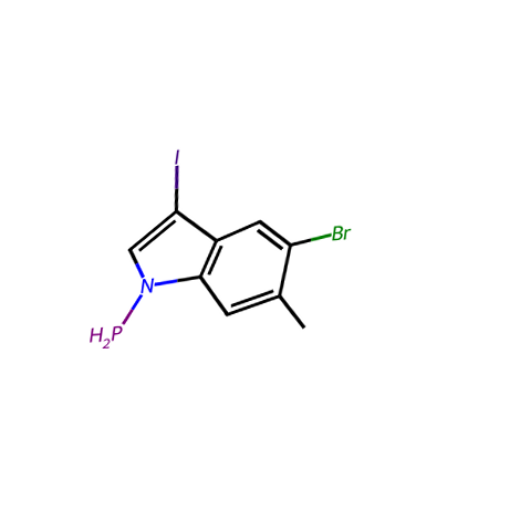 Cc1cc2c(cc1Br)c(I)cn2P